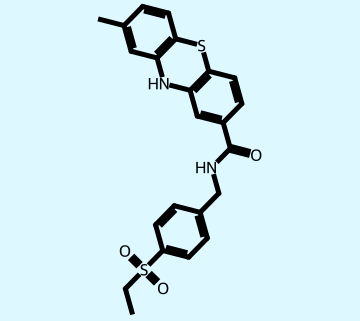 CCS(=O)(=O)c1ccc(CNC(=O)c2ccc3c(c2)Nc2cc(C)ccc2S3)cc1